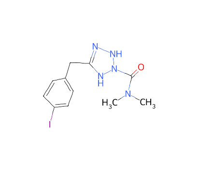 CN(C)C(=O)N1NN=C(Cc2ccc(I)cc2)N1